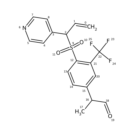 C=CC(c1ccncc1)S(=O)(=O)c1ccc(C(C)C=O)cc1C(F)(F)F